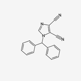 N#Cc1ncn(C(c2ccccc2)c2ccccc2)c1C#N